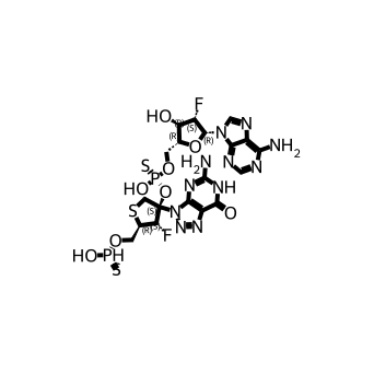 Nc1nc2c(nnn2[C@@]2(OP(O)(=S)OC[C@H]3O[C@@H](n4cnc5c(N)ncnc54)[C@@H](F)[C@@H]3O)CS[C@H](CO[PH](O)=S)[C@H]2F)c(=O)[nH]1